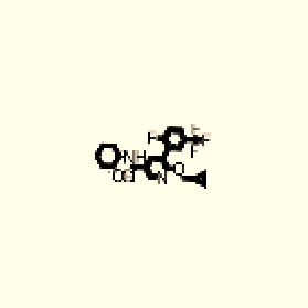 O=C(N[C@@H]1CCCC[C@H]1O)c1cnc(OCC2CC2)c(-c2cc(C(F)(F)F)ccc2F)c1